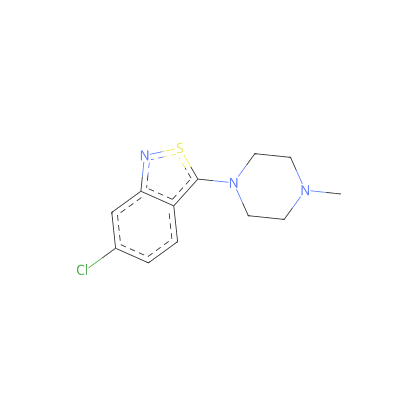 CN1CCN(c2snc3cc(Cl)ccc23)CC1